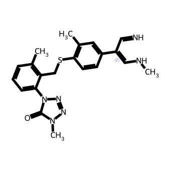 CN/C=C(\C=N)c1ccc(SCc2c(C)cccc2-n2nnn(C)c2=O)c(C)c1